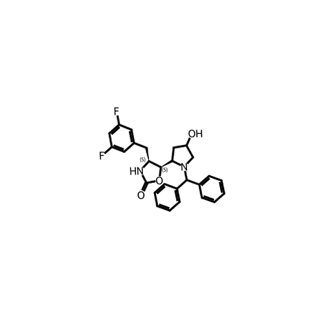 O=C1N[C@@H](Cc2cc(F)cc(F)c2)[C@@H](C2CC(O)CN2C(c2ccccc2)c2ccccc2)O1